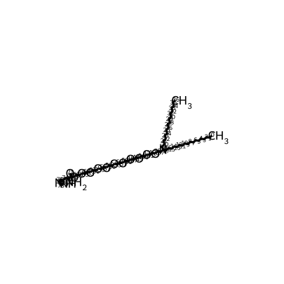 CCCCCCCCCCCCCCCCCCN(CCCCCCCCCCCCCCCCCC)CCOCCOCCOCCOCCOCCOCCOCCOCCOCCOCCOC(=O)C(N)Cc1cnc[nH]1